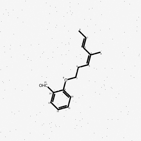 CC=CC(C)=CCCOc1ccccc1C=O